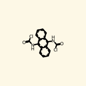 O=C(Cl)Nc1c2ccccc2c(NC(=O)Cl)c2ccccc12